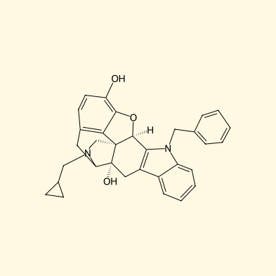 Oc1ccc2c3c1O[C@H]1c4c(c5ccccc5n4Cc4ccccc4)C[C@@]4(O)C(C2)N(CC2CC2)CC[C@]314